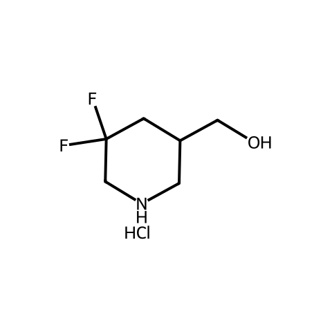 Cl.OCC1CNCC(F)(F)C1